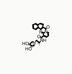 C[C@H](CN1C[C@H](O)[C@@H](O)C1)NC(=O)c1cccn2c(=O)c3ccc4ccccc4c3nc12